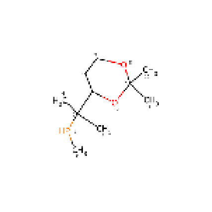 CPC(C)(C)C1CCOC(C)(C)O1